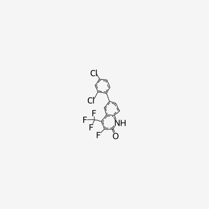 O=c1[nH]c2ccc(-c3ccc(Cl)cc3Cl)cc2c(C(F)(F)F)c1F